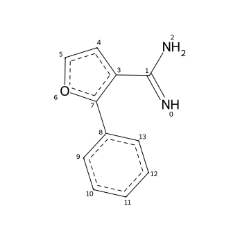 N=C(N)c1ccoc1-c1ccccc1